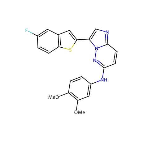 COc1ccc(Nc2ccc3ncc(-c4cc5cc(F)ccc5s4)n3n2)cc1OC